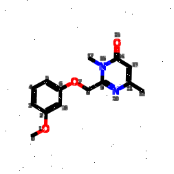 COc1cccc(OCc2nc(C)cc(=O)n2C)c1